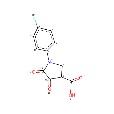 O=C(O)C1CN(c2ccc(F)cc2)C(=O)C1=O